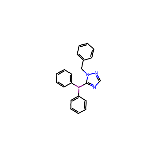 c1ccc(Cn2ncnc2P(c2ccccc2)c2ccccc2)cc1